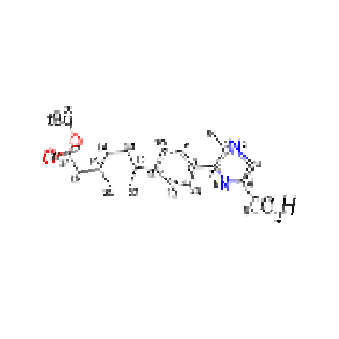 Cc1ncc(C(=O)O)nc1-c1ccc(C2CCC(CC(=O)OC(C)(C)C)CC2)cc1